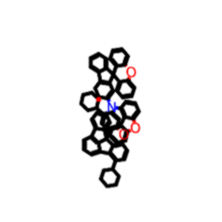 C1=C(N(c2ccc3c(c2)C24c5cc(C6CCCCC6)ccc5Oc5ccc(C6CCCCC6)c(c52)-c2cccc-3c24)c2cccc3oc4ccccc4c23)CCC2=C1C1(c3ccccc3Oc3ccccc31)c1ccccc12